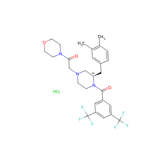 Cc1ccc(C[C@@H]2CN(CC(=O)N3CCOCC3)CCN2C(=O)c2cc(C(F)(F)F)cc(C(F)(F)F)c2)cc1C.Cl